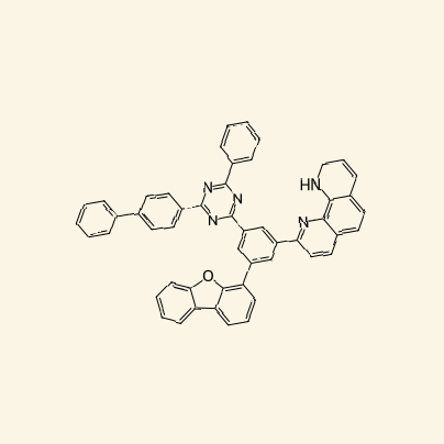 C1=Cc2ccc3ccc(-c4cc(-c5nc(-c6ccccc6)nc(-c6ccc(-c7ccccc7)cc6)n5)cc(-c5cccc6c5oc5ccccc56)c4)nc3c2NC1